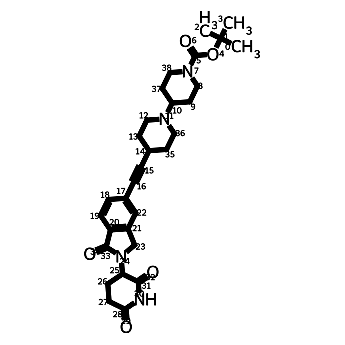 CC(C)(C)OC(=O)N1CCC(N2CCC(C#Cc3ccc4c(c3)CN(C3CCC(=O)NC3=O)C4=O)CC2)CC1